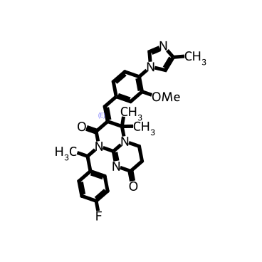 COc1cc(/C=C2/C(=O)N(C(C)c3ccc(F)cc3)C3=NC(=O)CCN3C2(C)C)ccc1-n1cnc(C)c1